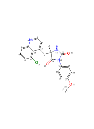 CC1(Cc2ccnc3cccc(Cl)c23)NC(=O)N(c2ccc(OC(F)(F)F)cc2)C1=O